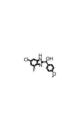 COc1ccc(C(O)c2nc3c(F)cc(Cl)cc3[nH]2)cc1